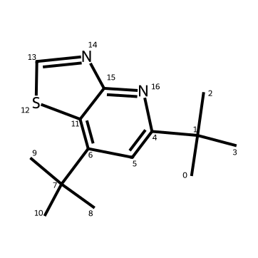 CC(C)(C)c1cc(C(C)(C)C)c2scnc2n1